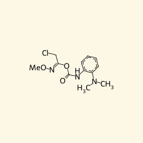 CON=C(CCl)OC(=O)Nc1ccccc1N(C)C